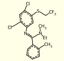 CCN(C)/C(=N\c1cc(SCC(F)(F)F)c(Cl)cc1Cl)c1ccccc1C